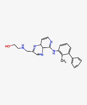 Cc1c(NC2=NC=CC3N=C(CNCCO)C=NC23)cccc1-c1ccccc1